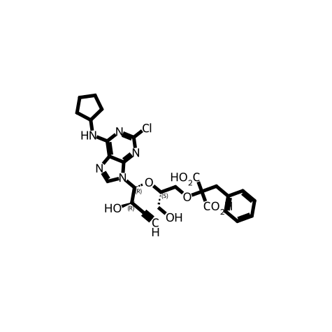 C#C[C@@H](O)[C@@H](O[C@@H](CO)COC(Cc1ccccc1)(C(=O)O)C(=O)O)n1cnc2c(NC3CCCC3)nc(Cl)nc21